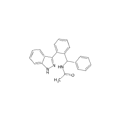 CC(=O)NC(c1ccccc1)c1ccccc1-c1n[nH]c2ccccc12